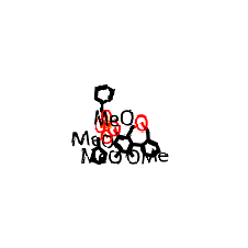 COc1c(OC)c(OP(=O)(OCc2ccccc2)OCc2ccccc2)c2c(c1OC)-c1ccccc1COC2OC